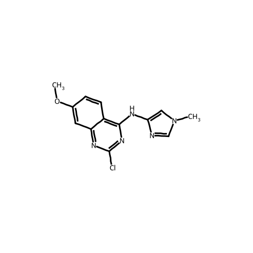 COc1ccc2c(Nc3cn(C)cn3)nc(Cl)nc2c1